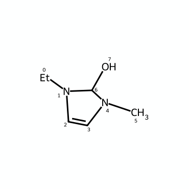 CCN1C=CN(C)C1O